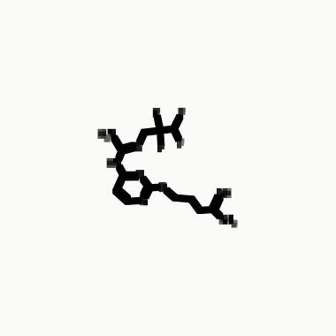 N=C(N)CCCOc1nccc(NC(N)=NCC(F)(F)C(F)F)n1